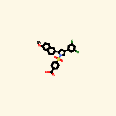 COc1ccc2cc([C@H]3C[C@@H](c4cc(Cl)cc(Cl)c4)CN3S(=O)(=O)c3ccc(C(=O)O)cc3)ccc2c1